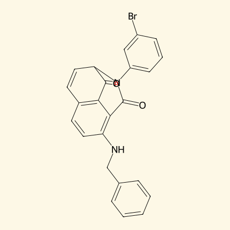 O=C1c2c3ccc(NCc4ccccc4)c2C(=O)N(c2cccc(Br)c2)C1C=C3